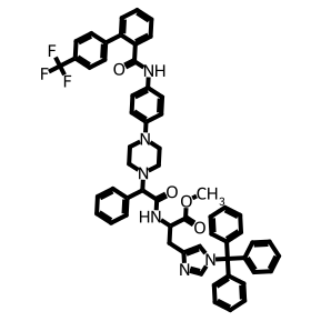 COC(=O)C(Cc1cn(C(c2ccccc2)(c2ccccc2)c2ccccc2)cn1)NC(=O)C(c1ccccc1)N1CCN(c2ccc(NC(=O)c3ccccc3-c3ccc(C(F)(F)F)cc3)cc2)CC1